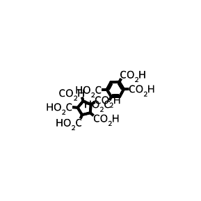 O=C(O)C1C(C(=O)O)C(C(=O)O)C(C(=O)O)C1C(=O)O.O=C(O)c1cc(C(=O)O)c(C(=O)O)cc1C(=O)O